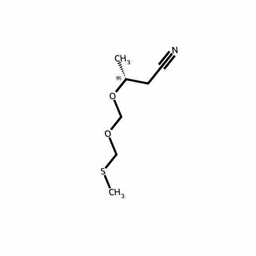 CSCOCO[C@H](C)CC#N